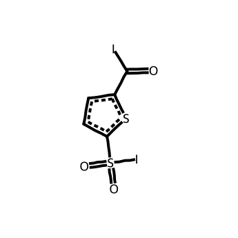 O=C(I)c1ccc(S(=O)(=O)I)s1